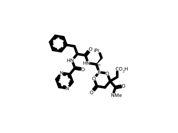 CNC(=O)C1(CC(=O)O)CC(=O)OB([C@H](CC(C)C)NC(=O)C(Cc2ccccc2)NC(=O)c2cnccn2)O1